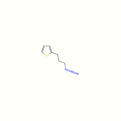 [N-]=[N+]=NCCCc1cccs1